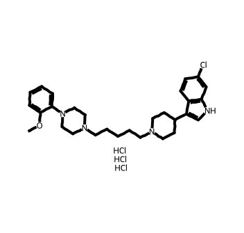 COc1ccccc1N1CCN(CCCCCN2CCC(c3c[nH]c4cc(Cl)ccc34)CC2)CC1.Cl.Cl.Cl